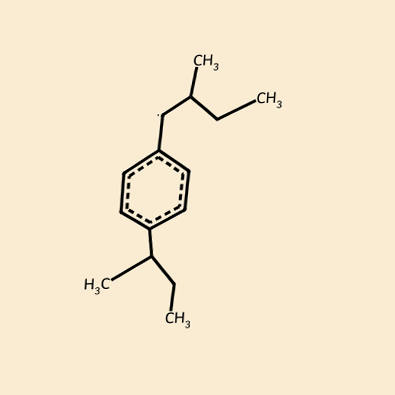 CCC(C)[CH]c1ccc(C(C)CC)cc1